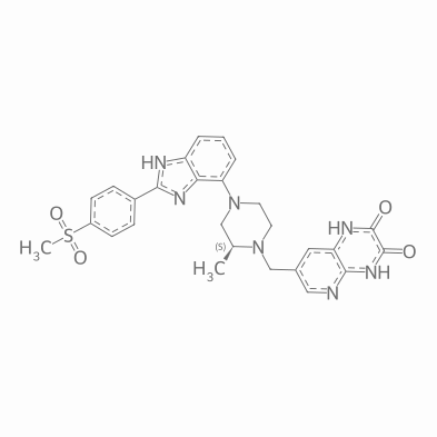 C[C@H]1CN(c2cccc3[nH]c(-c4ccc(S(C)(=O)=O)cc4)nc23)CCN1Cc1cnc2[nH]c(=O)c(=O)[nH]c2c1